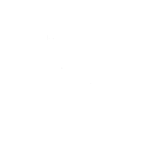 CCSC(=O)OCOC(=O)C1CC1C